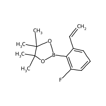 C=Cc1cccc(F)c1B1OC(C)(C)C(C)(C)O1